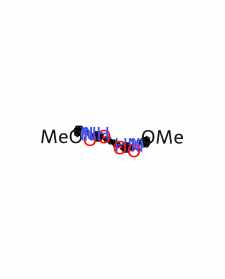 COc1cccc(/C=N/NC(=O)c2ccc(OCCCCCCOc3ccc(C(=O)N/N=C/c4cccc(OC)c4)cc3)cc2)c1